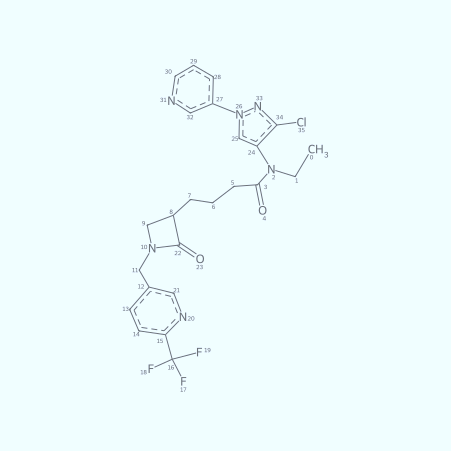 CCN(C(=O)CCCC1CN(Cc2ccc(C(F)(F)F)nc2)C1=O)c1cn(-c2cccnc2)nc1Cl